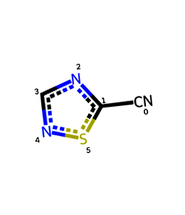 N#Cc1ncns1